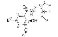 CCN1CCC[C@H]1CNC(=O)c1cc(Br)cc(OC)c1O